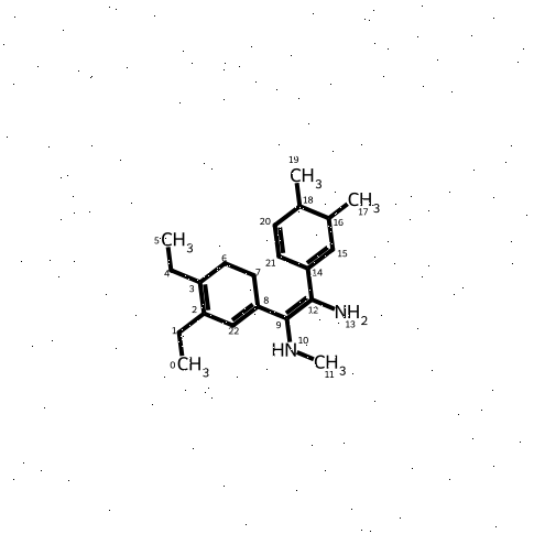 CCC1=C(CC)CCC(/C(NC)=C(/N)C2=CC(C)C(C)C=C2)=C1